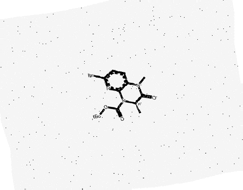 C[C@@H]1C(=O)N(C)c2ccc(Br)nc2N1C(=O)OC(C)(C)C